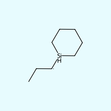 CC[CH][SiH]1CCCCC1